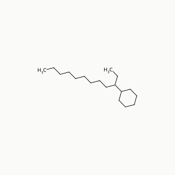 CCCCCCCCCC(CC)C1CCCCC1